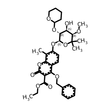 CCOC(=O)c1c(OCc2ccccc2)c2ccc(O[C@@H]3OC(C)(C)[C@H](OC)[C@H](O)[C@H]3OC3CCCCO3)c(C)c2oc1=O